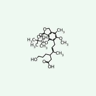 COc1c(C)c2c(c(O[Si](C)(C)C(C)(C)C)c1C/C=C(\C)C(CCCO)CC(=O)O)C(=O)OC2